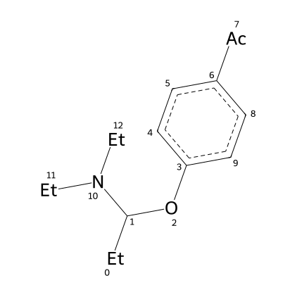 CCC(Oc1ccc(C(C)=O)cc1)N(CC)CC